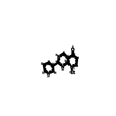 CCn1ccc(=O)c2cnc(-c3cccnc3)nc21